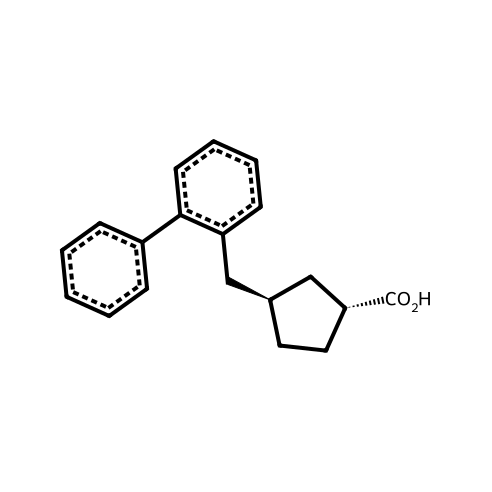 O=C(O)[C@@H]1CC[C@@H](Cc2ccccc2-c2ccccc2)C1